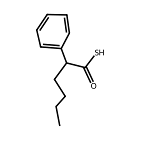 CCCCC(C(=O)S)c1ccccc1